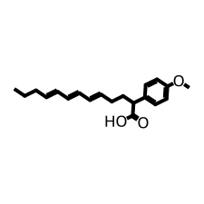 CCC/C=C/C=C/C=C/CCC(C(=O)O)c1ccc(OC)cc1